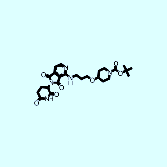 CC(C)(C)OC(=O)N1CCC(OCCCNc2nccc3c2C(=O)N(C2CCC(=O)NC2=O)C3=O)CC1